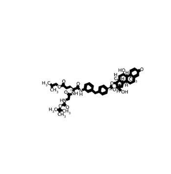 CC(C)COC(=O)CC[C@H](NC(=O)CNC(=O)OC(C)(C)C)C(=O)Nc1cccc(Cc2ccc([C@@H]3O[C@@H]4C[C@H]5[C@@H]6CCC7=CC(=O)C=C[C@]7(C)[C@H]6[C@@H](O)C[C@]5(C)[C@]4(C(=O)CO)O3)cc2)c1